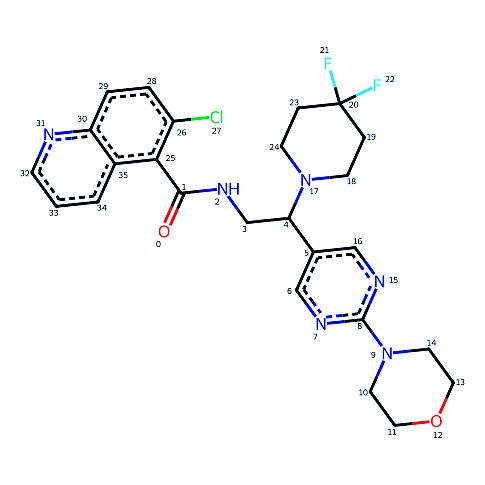 O=C(NCC(c1cnc(N2CCOCC2)nc1)N1CCC(F)(F)CC1)c1c(Cl)ccc2ncccc12